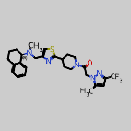 Cc1cc(C(F)(F)F)nn1CC(=O)N1CCC(c2nc(CN(C)[C@@H]3CCCc4ccccc43)cs2)CC1